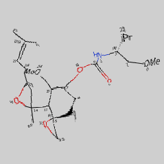 COC[C@H](NC(=O)OC1CC[C@]2(CO2)C(C2(C)OC2CC=C(C)C)C1OC)C(C)C